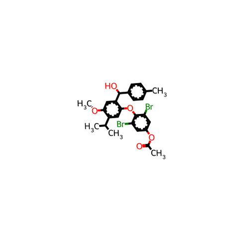 COc1cc(C(O)c2ccc(C)cc2)c(Oc2c(Br)cc(OC(C)=O)cc2Br)cc1C(C)C